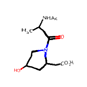 CC(=O)NC(C)C(=O)N1CC(O)CC1C(=O)O